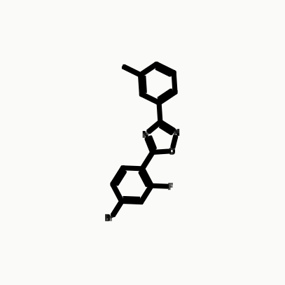 Cc1cccc(-c2noc(-c3ccc(Br)cc3F)n2)c1